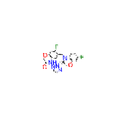 O=C1COc2cc(F)c(CN3c4ccc(F)cc4OC[C@@H]3Cn3nccn3)cc2N1